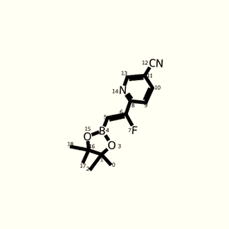 CC1(C)OB(/C=C(\F)c2ccc(C#N)cn2)OC1(C)C